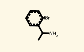 Br.CC(N)c1ccccc1